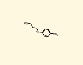 Nc1ccc(NCCCO)cc1